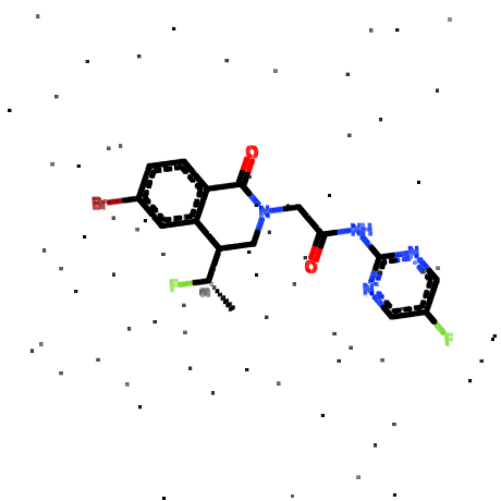 C[C@H](F)C1CN(CC(=O)Nc2ncc(F)cn2)C(=O)c2ccc(Br)cc21